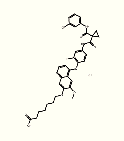 COc1cc2c(Oc3ccc(NC(=O)C4(C(=O)Nc5cccc(Cl)c5)CC4)cc3F)ccnc2cc1OCCCCCCC(=O)O.[KH]